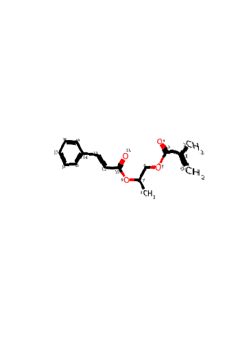 C=C(C)C(=O)OCC(C)OC(=O)/C=C/c1ccccc1